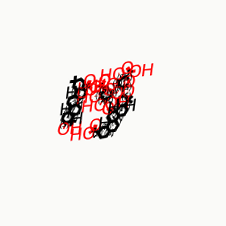 CC1(C)CC[C@]2(C(=O)O)CC[C@]3(C)C(=CC[C@@H]4[C@@]5(C)CC[C@H](O)C(C)(C)[C@@H]5CC[C@]43C)[C@@H]2C1.CC1(C)[C@@H](O[C@H]2O[C@H](C(=O)O)[C@@H](O)[C@H](O)[C@H]2O[C@@H]2O[C@H](C(=O)O)[C@@H](O)[C@H](O)[C@H]2O)CC[C@]2(C)[C@H]3C(=O)C=C4[C@@H]5C[C@@](C)(C(=O)O)CC[C@]5(C)CC[C@@]4(C)[C@]3(C)CC[C@@H]12